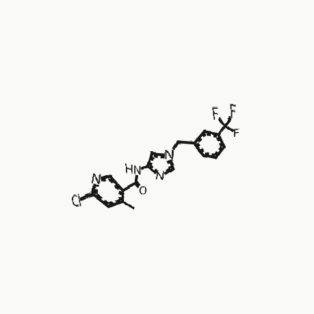 Cc1cc(Cl)ncc1C(=O)Nc1cn(Cc2cccc(C(F)(F)F)c2)cn1